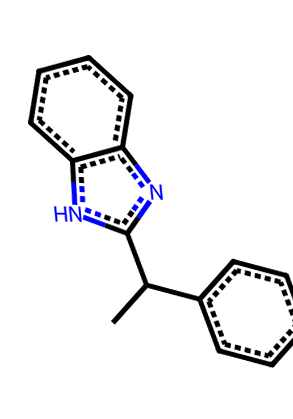 CC(c1ccccc1)c1nc2ccccc2[nH]1